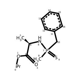 CC(C)OC(=O)[C@@H](C)NP(C)(=S)Cc1ccccc1